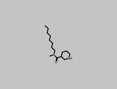 CCCCCCCCN(C)C(=O)C1CCCNC1